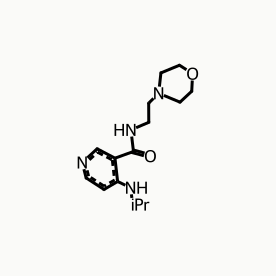 CC(C)Nc1ccncc1C(=O)NCCN1CCOCC1